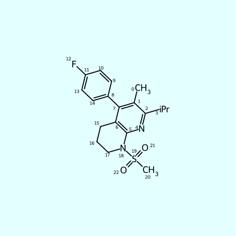 Cc1c(C(C)C)nc2c(c1-c1ccc(F)cc1)CCCN2S(C)(=O)=O